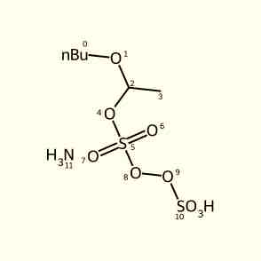 CCCCOC(C)OS(=O)(=O)OOS(=O)(=O)O.N